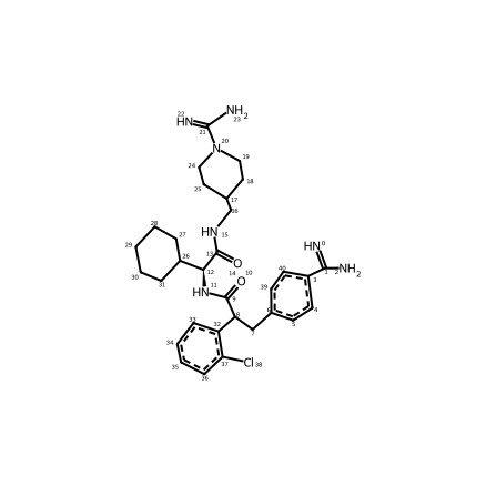 N=C(N)c1ccc(CC(C(=O)N[C@H](C(=O)NCC2CCN(C(=N)N)CC2)C2CCCCC2)c2ccccc2Cl)cc1